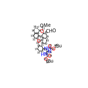 COCOc1c(C=O)cc2c(c1-c1c(OCc3cccc(N/C(=N\C(=O)OC(C)(C)C)NC(=O)OC(C)(C)C)c3)ccc3c1CCCC3)CCCC2